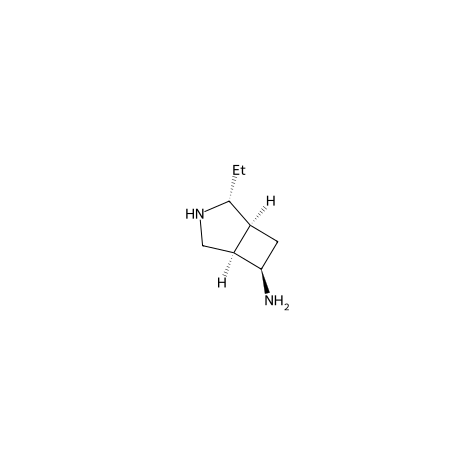 CC[C@H]1NC[C@H]2[C@@H]1C[C@H]2N